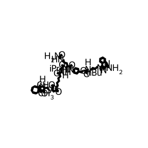 CCCCc1nc2c(N)nc3ccccc3c2n1CCCCNC(=O)OCc1ccc(NC(=O)C(CCCNC(N)=O)NC(=O)C(NC(=O)CCCCCN2C(=O)CC(SCC3NC4(C)/C5=C/C=C\C=C/C(=C5)C4(C)C3=O)C2=O)C(C)C)cc1